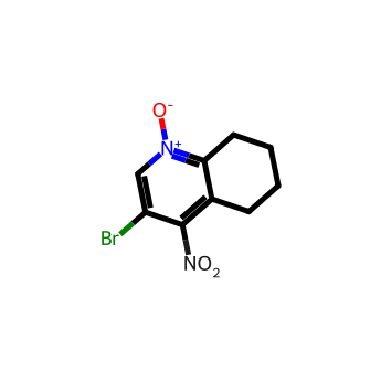 O=[N+]([O-])c1c(Br)c[n+]([O-])c2c1CCCC2